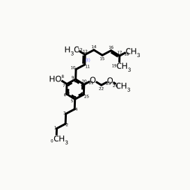 CCCCCc1cc(O)c(C/C=C(\C)CCC=C(C)C)c(OCOC)c1